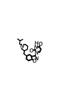 CC(C)CN1CCCC(Cc2ccc3onc(-n4ccc(=O)[nH]c4=O)c3c2)C1